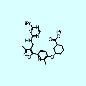 Cc1nc(-c2onc(C)c2CNc2ncnc(C(C)C)n2)ccc1O[C@H]1CCC[C@H](C(=O)OC(C)C)C1